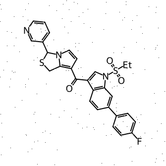 CCS(=O)(=O)n1cc(C(=O)c2ccn3c2CSC3c2cccnc2)c2ccc(-c3ccc(F)cc3)cc21